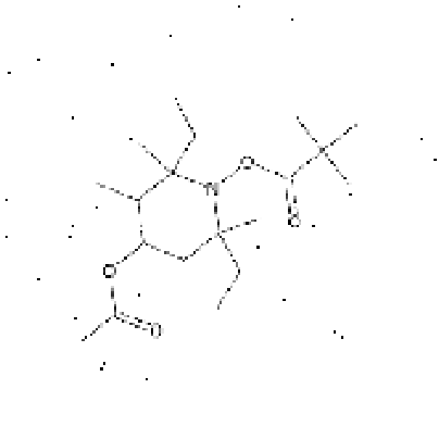 CCC1(C)CC(OC(C)=O)C(C)C(C)(CC)N1OC(=O)C(C)(C)C